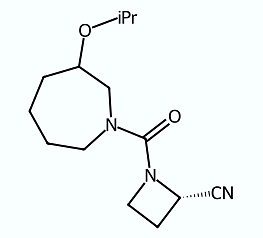 CC(C)OC1CCCCN(C(=O)N2CC[C@H]2C#N)C1